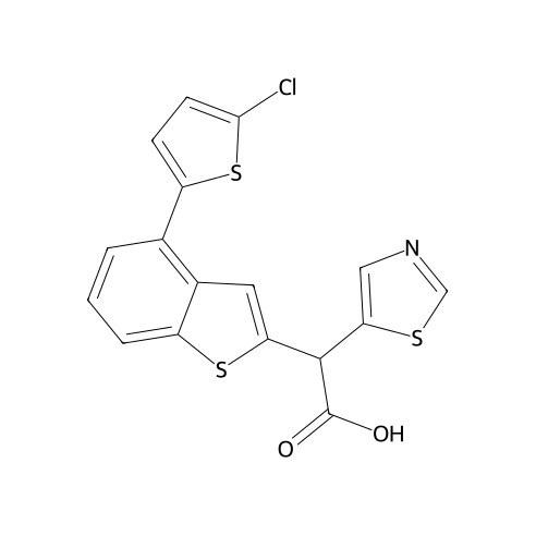 O=C(O)C(c1cncs1)c1cc2c(-c3ccc(Cl)s3)cccc2s1